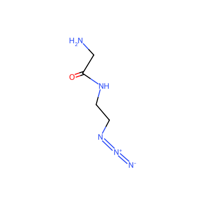 [N-]=[N+]=NCCNC(=O)CN